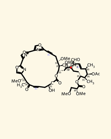 COC[C@@H](OC)C(=O)O[C@H](CC[C@H](C)[C@H](C[C@@H]1OC(=O)C[C@@H](O)C/C=C/C(=O)[C@H](C)[C@H](OC)c2coc(n2)-c2coc(n2)-c2coc(n2)/C=C/C[C@H](OC)[C@H]1C)OC)[C@H](C)[C@H](OC(C)=O)[C@H](C)/C=C/N(C)C=O